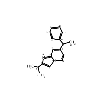 CC(C)c1cn2ccc(C(C)c3cccnc3)cc2n1